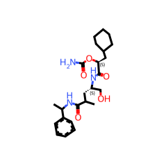 CC(C[C@@H](CO)NC(=O)[C@H](CC1CCCCC1)OC(N)=O)C(=O)NC(C)c1ccccc1